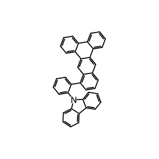 c1ccc(-n2c3ccccc3c3ccccc32)c(-c2cccc3cc4c5ccccc5c5ccccc5c4cc23)c1